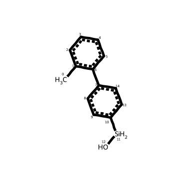 Cc1ccccc1-c1ccc([SiH2]O)cc1